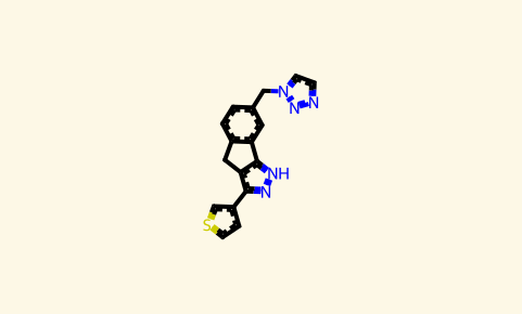 c1cn(Cc2ccc3c(c2)-c2[nH]nc(-c4ccsc4)c2C3)nn1